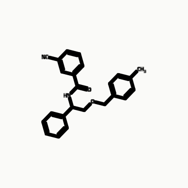 Cc1ccc(COCC(NC(=O)c2cccc(C#N)c2)c2ccccc2)cc1